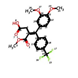 COC(=O)C(CC(=O)O)=C(c1ccc(C(F)(F)F)cc1)c1ccc(OC)c(OC)c1